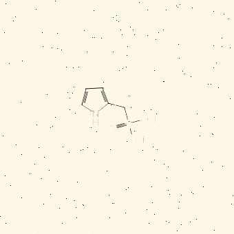 OP(O)(=S)Cc1ccc[nH]1